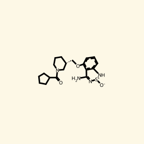 NC1=N[S+]([O-])Nc2cccc(OC[C@H]3CCCN(C(=O)C4CCCC4)C3)c21